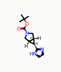 CC(C)(C)OC(=O)N1C[C@@H]2[C@H](C1)[C@H]2c1ncc[nH]1